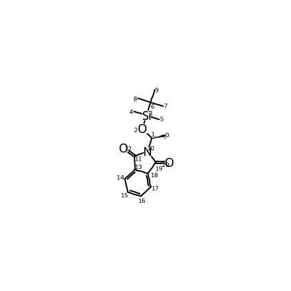 [CH2][C@H](O[Si](C)(C)C(C)(C)C)N1C(=O)c2ccccc2C1=O